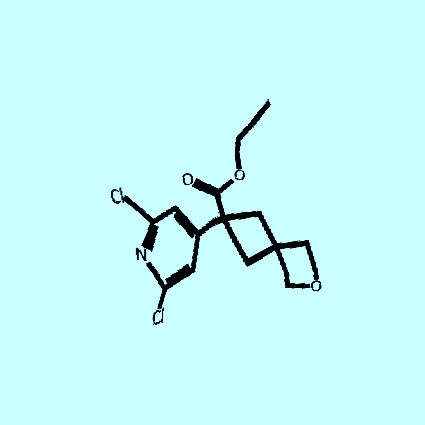 CCOC(=O)C1(c2cc(Cl)nc(Cl)c2)CC2(COC2)C1